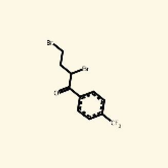 O=C(c1ccc(C(F)(F)F)cc1)C(Br)CCBr